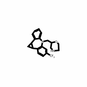 FC(F)(F)c1ccc2c(c1)N(CC1CNCCO1)c1ccccc1C1CC21